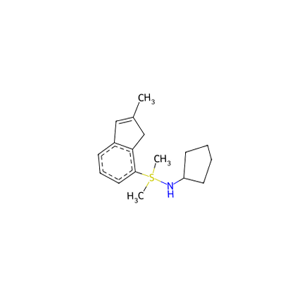 CC1=Cc2cccc(S(C)(C)NC3CCCC3)c2C1